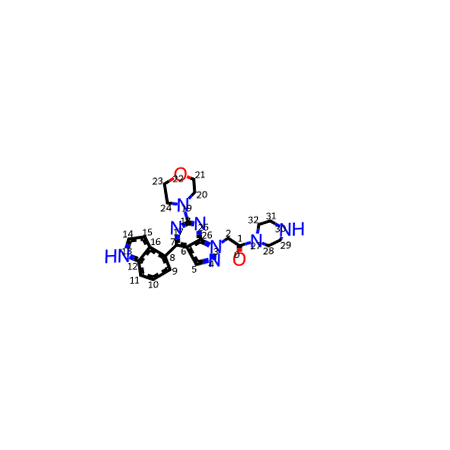 O=C(Cn1ncc2c(-c3cccc4[nH]ccc34)nc(N3CCOCC3)nc21)N1CCNCC1